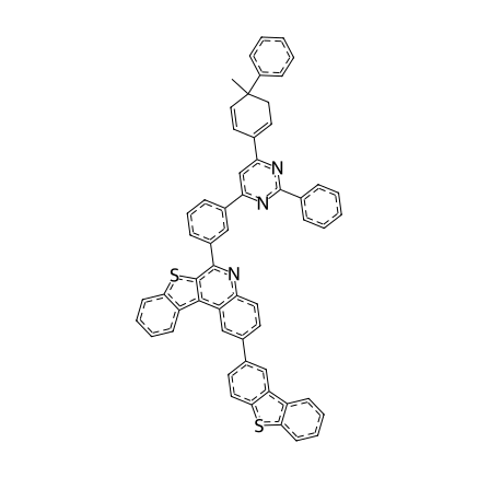 CC1(c2ccccc2)C=CC(c2cc(-c3cccc(-c4nc5ccc(-c6ccc7sc8ccccc8c7c6)cc5c5c4sc4ccccc45)c3)nc(-c3ccccc3)n2)=CC1